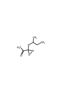 CCC(C)OC1(C(C)=O)OO1